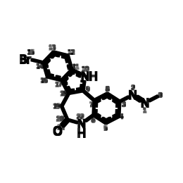 CN=Nc1ccc2c(c1)-c1[nH]c3ccc(Br)cc3c1CC(=O)N2